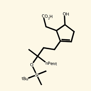 CCCCCC(C)(CCC1=CCC(O)C1CC(=O)O)O[Si](C)(C)C(C)(C)C